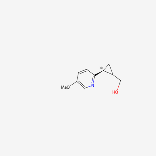 COc1ccc([C@H]2CC2CO)nc1